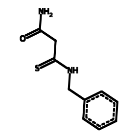 NC(=O)CC(=S)NCc1ccccc1